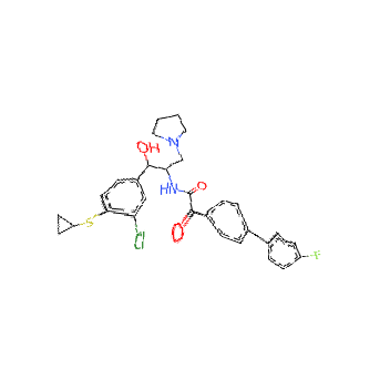 O=C(NC(CN1CCCC1)C(O)c1ccc(SC2CC2)c(Cl)c1)C(=O)c1ccc(-c2ccc(F)cc2)cc1